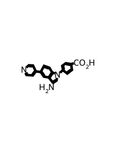 Nc1cn(-c2ccc(C(=O)O)cc2)c2ccc(-c3ccncc3)cc12